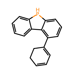 C1=CCCC(c2cccc3[pH]c4ccccc4c23)=C1